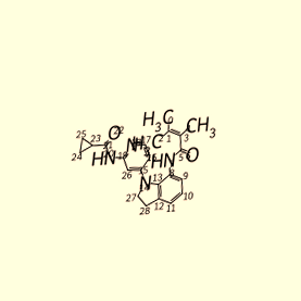 CC(C)=C(C)C(=O)Nc1cccc2c1N(c1ccnc(NC(=O)C3CC3)c1)CC2